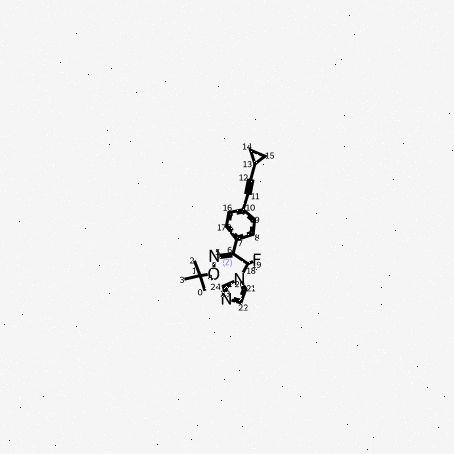 CC(C)(C)O/N=C(/c1ccc(C#CC2CC2)cc1)C(F)n1ccnc1